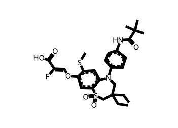 CCC1(CC)CN(c2ccc(NC(=O)C(C)(C)C)cc2)c2cc(SC)c(OC=C(F)C(=O)O)cc2S(=O)(=O)C1